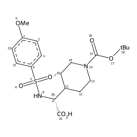 COc1ccc(S(=O)(=O)N[C@@H](C(=O)O)C2CCN(C(=O)OC(C)(C)C)CC2)cc1